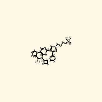 CC[C@@H]1c2nncn2-c2cnc(-c3cn(COCC[Si](C)(C)C)nc3-c3nccs3)nc2N1C1CCC1